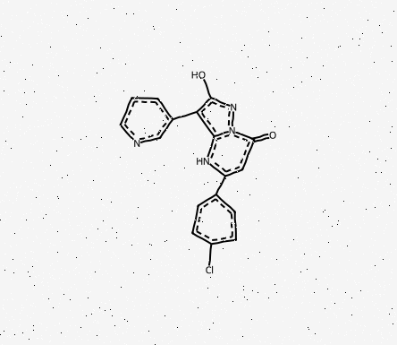 O=c1cc(-c2ccc(Cl)cc2)[nH]c2c(-c3cccnc3)c(O)nn12